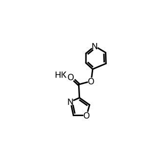 O=C(Oc1ccncc1)c1cocn1.[KH]